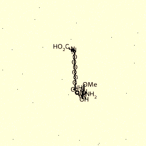 COCCOc1nc(N)c2nc(O)n(Cc3ccc(C(=O)NCCOCCOCCOCCOCCOCCOCCn4cc(CCC(=O)O)nn4)cc3)c2n1